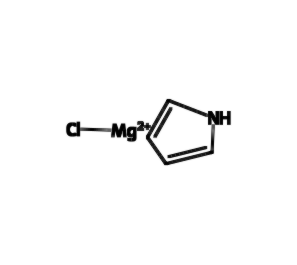 [Mg+2][Cl].c1cc[nH]c1